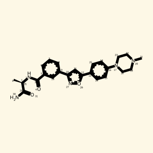 C[C@@H](NC(=O)c1cccc(-c2cc(-c3ccc(N4CCN(C)CC4)cc3)on2)c1)C(N)=O